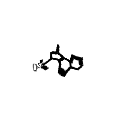 CC1=CC([Si](C)(C)Cl)c2ccc3ccccc3c21